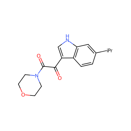 CC(C)c1ccc2c(C(=O)C(=O)N3CCOCC3)c[nH]c2c1